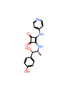 C[C@H](Nc1c(Nc2ccncc2)c(=O)c1=O)[C@H](O)c1ccc(O)cc1